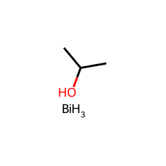 CC(C)O.[BiH3]